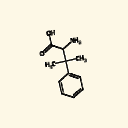 CC(C)(c1ccccc1)C(N)C(=O)O